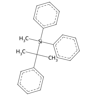 CC(C)(c1ccccc1)[Si](C)(c1ccccc1)c1ccccc1